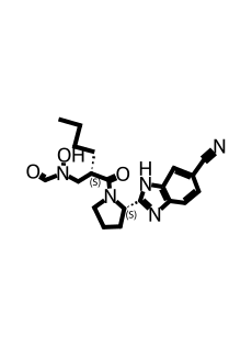 CCCC[C@@H](CN(O)C=O)C(=O)N1CCC[C@H]1c1nc2ccc(C#N)cc2[nH]1